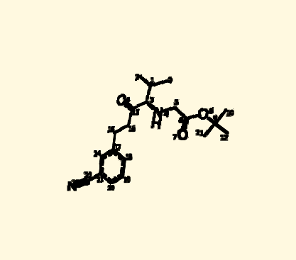 CC(C)[C@@H](NCC(=O)OC(C)(C)C)C(=O)CCc1cccc(C#N)c1